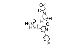 CC(=O)CC(=O)N1C[C@@H]2C(Oc3cc(C(C)(C)NC(=O)O)cc(-c4ccc(F)cc4)n3)[C@@H]2C1